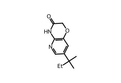 CCC(C)(C)c1cnc2c(c1)OCC(=O)N2